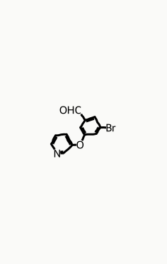 O=Cc1cc(Br)cc(Oc2cccnc2)c1